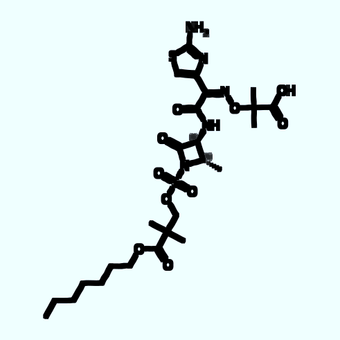 CCCCCCCOC(=O)C(C)(C)COS(=O)(=O)N1C(=O)[C@@H](NC(=O)C(=NOC(C)(C)C(=O)O)c2csc(N)n2)[C@@H]1C